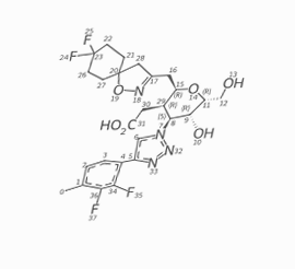 Cc1ccc(-c2cn([C@@H]3[C@@H](O)[C@@H](CO)O[C@H](CC4=NOC5(CCC(F)(F)CC5)C4)[C@@H]3CC(=O)O)nn2)c(F)c1F